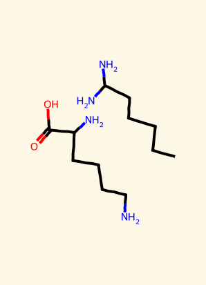 CCCCCC(N)N.NCCCCC(N)C(=O)O